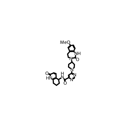 COc1ccc2c(c1)CCN(C1CCN(c3cc(C(=O)NC4CCCc5[nH]c(=O)ccc54)ncn3)CC1)C(=O)N2